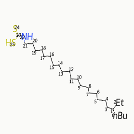 CCCCC(CC)CCCCCCCCCCCCCCCCCCCNC(=S)S